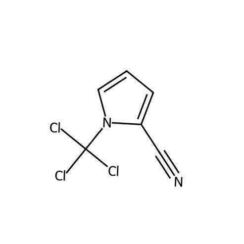 N#Cc1cccn1C(Cl)(Cl)Cl